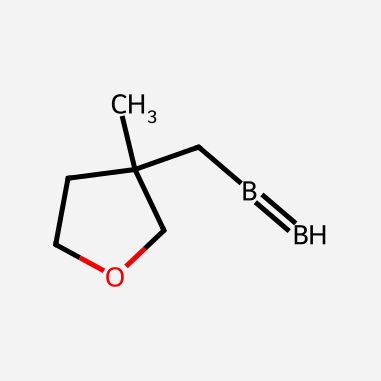 B=BCC1(C)CCOC1